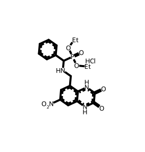 CCOP(=O)(OCC)C(NCc1cc([N+](=O)[O-])cc2[nH]c(=O)c(=O)[nH]c12)c1ccccc1.Cl